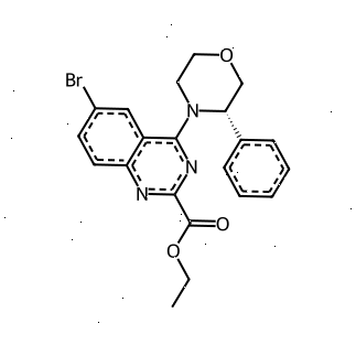 CCOC(=O)c1nc(N2CCOC[C@@H]2c2ccccc2)c2cc(Br)ccc2n1